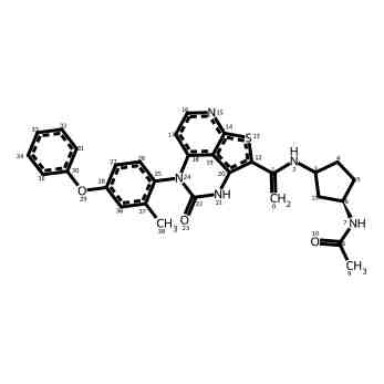 C=C(NC1CC[C@@H](NC(C)=O)C1)c1sc2nccc3c2c1NC(=O)N3c1ccc(Oc2ccccc2)cc1C